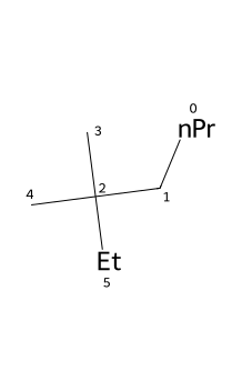 [CH2]CCCC(C)(C)CC